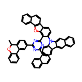 CC1Oc2ccccc2-c2cc(-c3nc(-c4cccc5ccccc45)nc(-c4c(-n5c6ccccc6c6cc7ccccc7cc65)ccc5c4oc4c6ccccc6ccc54)n3)ccc21